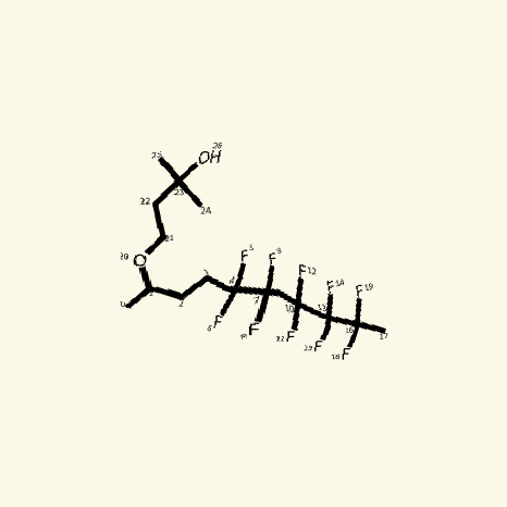 CC(CCC(F)(F)C(F)(F)C(F)(F)C(F)(F)C(C)(F)F)OCCC(C)(C)O